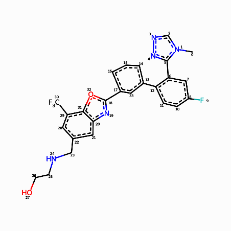 Cn1cnnc1-c1cc(F)ccc1-c1cccc(-c2nc3cc(CNCCO)cc(C(F)(F)F)c3o2)c1